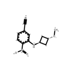 CO[C@H]1C[C@H](Nc2cc(C#N)ccc2[N+](=O)[O-])C1